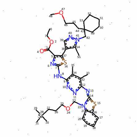 CCOC(=O)c1nc(Nc2nnc(N=c3sc4ccccc4n3COCCC[Si](C)(C)C)c(C)c2C)sc1-c1cnn(CC2(CCCOC)CCCCC2)c1C